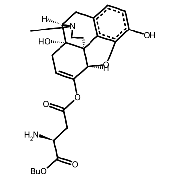 CC(C)COC(=O)[C@@H](N)CC(=O)OC1=CC[C@@]2(O)[C@H]3Cc4ccc(O)c5c4[C@@]2(CCN3C)[C@H]1O5